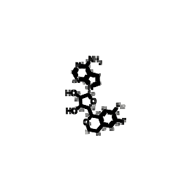 Nc1ncnc2c1ccn2[C@@H]1O[C@H]([C@@H]2OCCc3cc(F)c(F)cc32)[C@@H](O)[C@H]1O